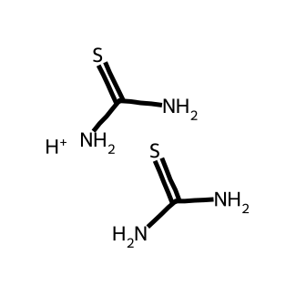 NC(N)=S.NC(N)=S.[H+]